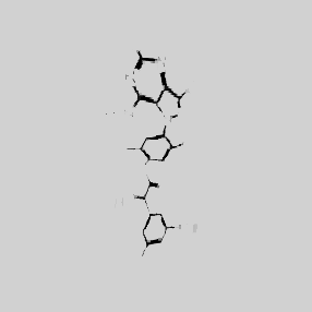 Cc1nc(N)c2c(n1)c(C)nn2-c1cc(F)c(NC(=O)C(O)c2cc(F)cc(Cl)c2)cc1F